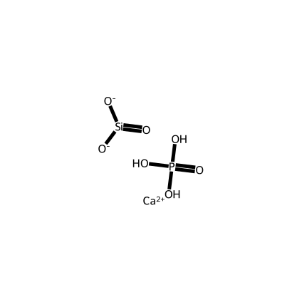 O=P(O)(O)O.O=[Si]([O-])[O-].[Ca+2]